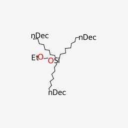 CCCCCCCCCCCCCCCCCC[Si](CCCCCCCCCCCCCCCCCC)(CCCCCCCCCCCCCCCCCC)OCCOCC